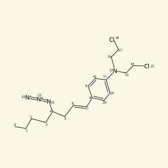 CCCCC(CC=Cc1ccc(N(CCCl)CCCl)cc1)N=[N+]=[N-]